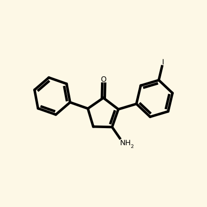 NC1=C(c2cccc(I)c2)C(=O)C(c2ccccc2)C1